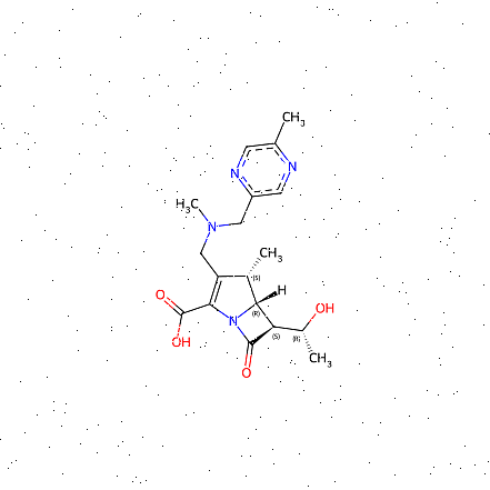 Cc1cnc(CN(C)CC2=C(C(=O)O)N3C(=O)[C@H]([C@@H](C)O)[C@H]3[C@H]2C)cn1